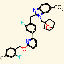 N#Cc1ccc(COc2cccc(-c3ccc(Cc4nc5ccc(C(=O)O)cc5n4CC45CCC(CC4)O5)c(F)c3)n2)c(F)c1